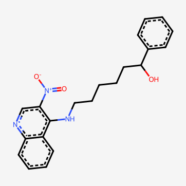 O=[N+]([O-])c1cnc2ccccc2c1NCCCCCC(O)c1ccccc1